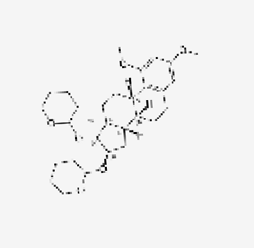 COc1cc2c(c(OC)c1)[C@H]1CC[C@@]3(C)[C@@H](C[C@@H](OC4CCCCO4)[C@@H]3OC3CCCCO3)[C@H]1CC2